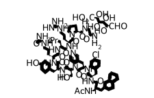 CC(=O)N[C@H](Cc1ccc2ccccc2c1)C(=O)N[C@H](Cc1ccc(Cl)cc1)C(=O)N[C@H](Cc1cccnc1)C(=O)N[C@@H](CO)C(=O)N[C@@H](Cc1ccc(O)cc1)C(=O)N[C@H](CCCNC(N)=O)C(=O)N[C@@H](CC(C)C)C(=O)N[C@@H](CCCNC(=N)N)C(=O)N1CCC[C@H]1C(=O)N[C@H](C)C(N)=O.O=C[C@H](O)[C@@H](O)[C@H](O)[C@H](O)C(=O)O